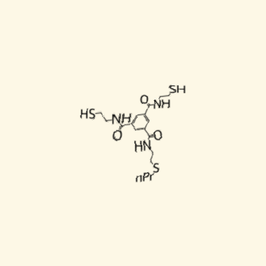 CCCSCCNC(=O)c1cc(C(=O)NCCS)cc(C(=O)NCCS)c1